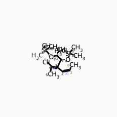 C/C=C\C(=C(/C)Cl)[C@@H](O[Si](C)(C)C)[C@H](C)O[Si](C)(C)C